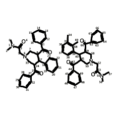 CN(C)C(=O)CN1CC(C(=O)c2ccccc2)C(c2ccccc2)C(C(=O)c2ccccc2)C1.Cc1cccc(C2C(C(=O)c3ccccc3)CN(CC(=O)N(C)C)CC2C(=O)c2ccccc2)c1C